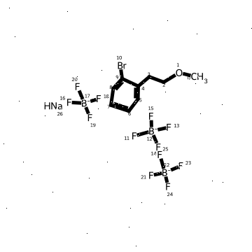 COCCc1ccccc1Br.F[B-](F)(F)F.F[B-](F)(F)F.F[B-](F)(F)F.[NaH]